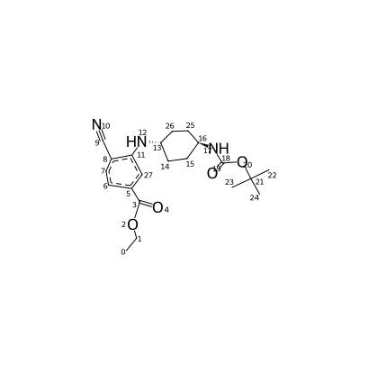 CCOC(=O)c1ccc(C#N)c(N[C@H]2CC[C@H](NC(=O)OC(C)(C)C)CC2)c1